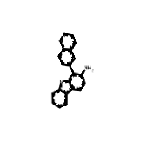 Nc1ccc2c(sc3ccccc32)c1-c1ccc2ccccc2c1